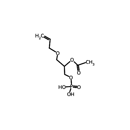 C=CCOCC(COP(=O)(O)O)OC(C)=O